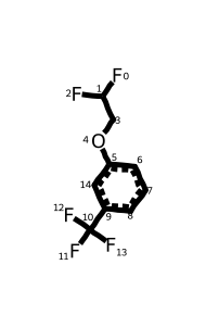 FC(F)COc1cccc(C(F)(F)F)c1